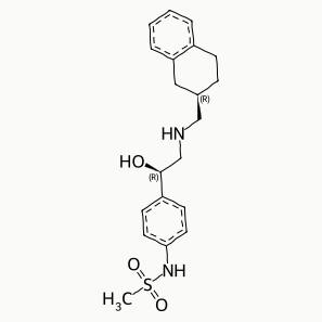 CS(=O)(=O)Nc1ccc([C@@H](O)CNC[C@@H]2CCc3ccccc3C2)cc1